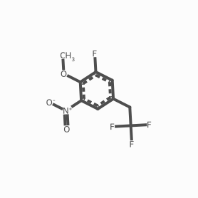 COc1c(F)cc(CC(F)(F)F)cc1[N+](=O)[O-]